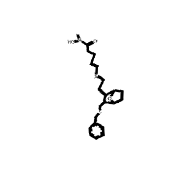 CN(O)C(=O)CCCCSCCC1C2CCC(O2)C1CSCc1ccccc1